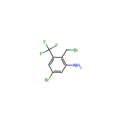 Nc1cc(Br)cc(C(F)(F)F)c1CBr